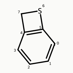 [c]1cccc2c1SC2